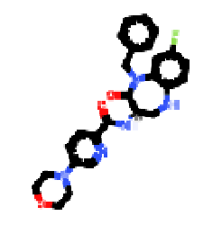 O=C(N[C@H]1CNc2ccc(F)cc2N(Cc2ccccc2)C1=O)c1ccc(N2CCOCC2)cn1